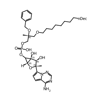 CCCCCCCCCCCCCCCCCCOC[C@](C)(COP(=O)(O)OC1[C@H]2O[C@@](C)(c3ccc4c(N)ncnn34)[C@H](O)[C@@]12O)OCc1ccccc1